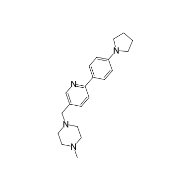 CN1CCN(Cc2ccc(-c3ccc(N4CCCC4)cc3)nc2)CC1